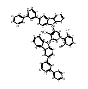 N#Cc1c(-n2c3ccccc3c3cc(-c4ccnc(-c5ccccc5)c4)ccc32)cc(-c2c(F)cccc2F)cc1-n1c2ccccc2c2cc(-c3ccnc(-c4ccccc4)c3)ccc21